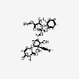 CCC#C[C@@]1(O)[C@H](O)[C@@H](COP(=S)(NC(C)C(=O)OC(C)C)Oc2ccccc2)O[C@H]1n1ccc(=O)[nH]c1=O